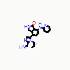 C/C=C\n1c(-c2ccc(Nc3ccccn3)c3c2CNC3=O)cnc1C=N